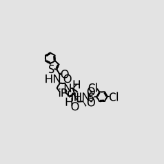 CC(C)CC(NC(=O)c1cc2ccccc2s1)C(=O)N1C[C@@H]2C[C@H]1CN2C(=O)[C@H](C)NS(=O)(=O)c1ccc(Cl)cc1Cl